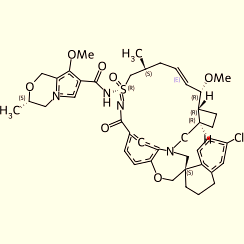 COc1c(C(=O)N[S@@]2(=O)=NC(=O)c3ccc4c(c3)N(C[C@@H]3CC[C@H]3[C@@H](OC)/C=C/C[C@H](C)C2)C[C@@]2(CCCc3cc(Cl)ccc32)CO4)cn2c1CO[C@@H](C)C2